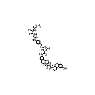 CC(C)C(NC(=O)CN)C(=O)NCC(=O)Nc1ccc(COC(=O)N[C@@H](CO)C(=O)Nc2ccc3c(c2)C2CCC[C@](C)(C(=O)NC(=O)[C@@]4(C)CCC[C@]5(C)c6cc(O)ccc6CC[C@@H]45)[C@@H]2CC3)cc1